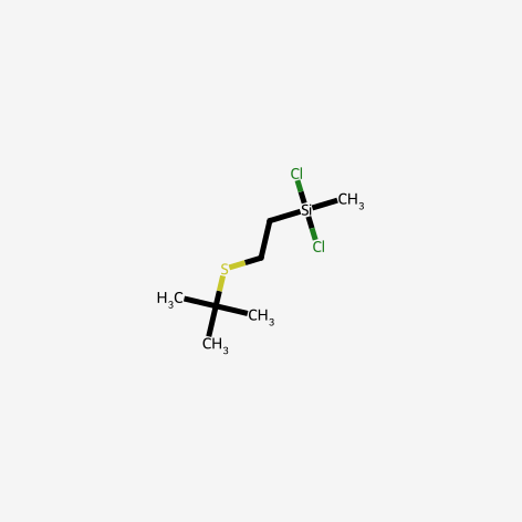 CC(C)(C)SCC[Si](C)(Cl)Cl